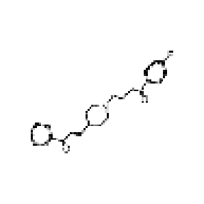 O=C(C=CC1CCN(CCCC(=O)c2ccc(F)cc2)CC1)c1ccccc1